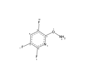 NOc1nc(F)c(F)cc1F